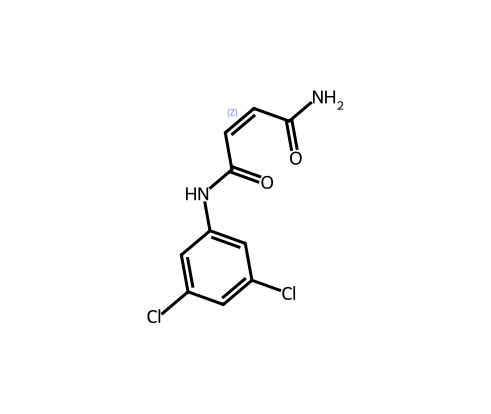 NC(=O)/C=C\C(=O)Nc1cc(Cl)cc(Cl)c1